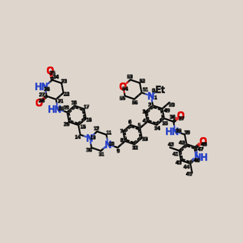 CCN(c1cc(-c2ccc(CN3CCN(Cc4cccc(NC5CCC(=O)NC5=O)c4)CC3)cc2)cc(C(=O)NCc2c(C)cc(C)[nH]c2=O)c1C)C1CCOCC1